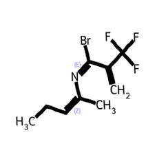 C=C(/C(Br)=N\C(C)=C/CC)C(F)(F)F